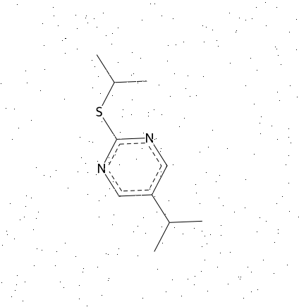 CC(C)Sc1ncc(C(C)C)cn1